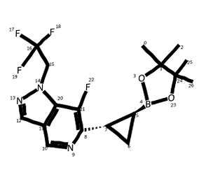 CC1(C)OB([C@H]2C[C@@H]2c2ncc3cnn(CC(F)(F)F)c3c2F)OC1(C)C